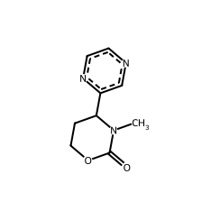 CN1C(=O)OCCC1c1cnccn1